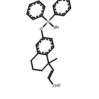 CC1(C=CC=O)CCCc2cc(O[Si](c3ccccc3)(c3ccccc3)C(C)(C)C)ccc21